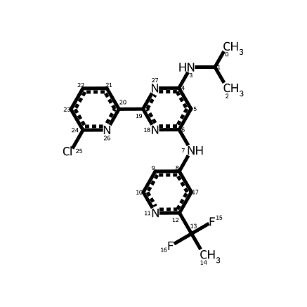 CC(C)Nc1cc(Nc2ccnc(C(C)(F)F)c2)nc(-c2cccc(Cl)n2)n1